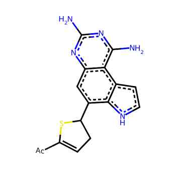 CC(=O)C1=CCC(c2cc3nc(N)nc(N)c3c3cc[nH]c23)S1